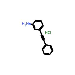 Cl.Nc1cccc(C#Cc2ccccc2)c1